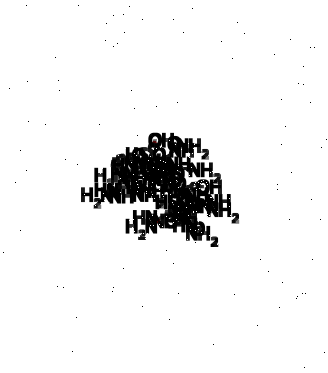 N=C(N)NCCC[C@H](NC(=O)[C@H](CS)NC(=O)[C@H](CCCNC(N)=O)NC(=O)[C@H](CCCNC(=N)N)NC(=O)[C@H](Cc1ccc(O)cc1)NC(=O)[C@@H]1CCCN1C(=O)[C@@H](CCCNC(N)=O)NC(=O)[C@H](CCCCN)NC(=O)[C@H](CCCNC(N)=O)NC(=O)[C@H](Cc1ccc(O)cc1)NC(=O)[C@H](CS)NC(=O)[C@H](Cc1ccc2ccccc2c1)NC(=O)[C@H](CCCNC(=N)N)NC(=O)[C@@H](N)CCCNC(=N)N)C(=O)O